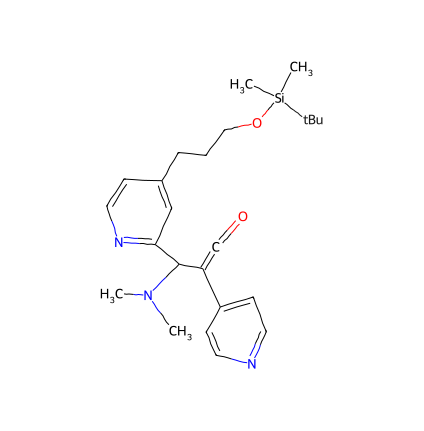 CN(C)C(C(=C=O)c1ccncc1)c1cc(CCCO[Si](C)(C)C(C)(C)C)ccn1